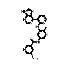 Cc1ncc(NC(=O)c2cncc(C(F)(F)F)c2)cc1Nc1ncccc1-c1ncnc2[nH]cnc12